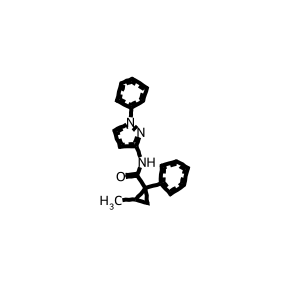 CC1CC1(C(=O)Nc1ccn(-c2ccccc2)n1)c1ccccc1